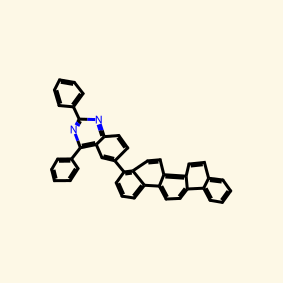 c1ccc(-c2nc(-c3ccccc3)c3cc(-c4cccc5c4ccc4c5ccc5c6ccccc6ccc54)ccc3n2)cc1